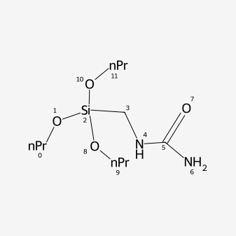 CCCO[Si](CNC(N)=O)(OCCC)OCCC